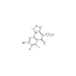 Cc1c(F)c(Br)cc2c1c(=O)c(C(=O)O)c1n2CCS1